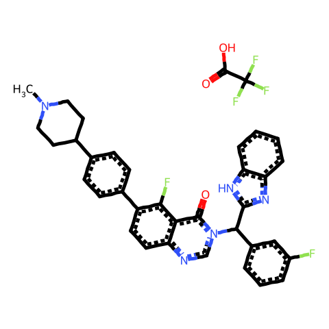 CN1CCC(c2ccc(-c3ccc4ncn(C(c5cccc(F)c5)c5nc6ccccc6[nH]5)c(=O)c4c3F)cc2)CC1.O=C(O)C(F)(F)F